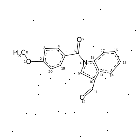 COc1ccc(C(=O)n2cc(C=O)c3ccccc32)cc1